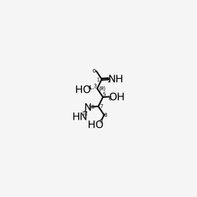 CC(=N)[C@@H](O)C(O)C(CO)N=N